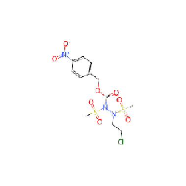 CS(=O)(=O)N(CCCl)N(C(=O)OCc1ccc([N+](=O)[O-])cc1)S(C)(=O)=O